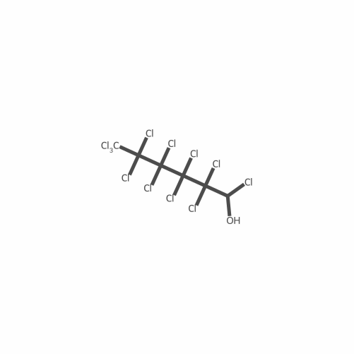 OC(Cl)C(Cl)(Cl)C(Cl)(Cl)C(Cl)(Cl)C(Cl)(Cl)C(Cl)(Cl)Cl